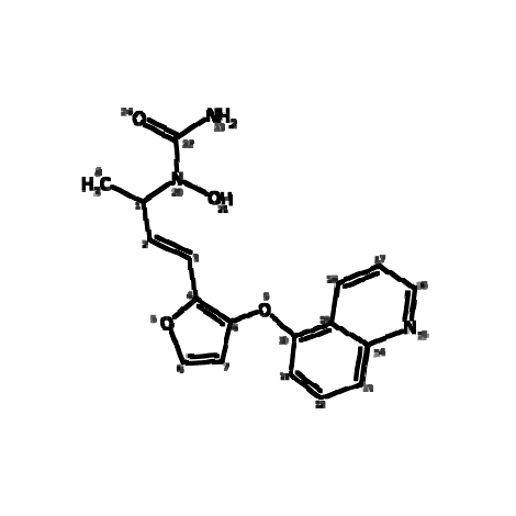 CC(C=Cc1occc1Oc1cccc2ncccc12)N(O)C(N)=O